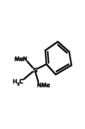 CN[Si](C)(NC)c1ccccc1